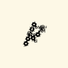 COc1ccccc1N1CCN(C(=O)CN(C(=O)c2ccc(-c3ccccc3)cc2)c2ccc(Cl)cc2Oc2cccc(CNC(=O)OC(C)(C)C)c2)CC1